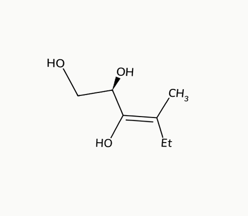 CCC(C)=C(O)[C@H](O)CO